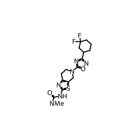 CNC(=O)Nc1nc2c(s1)CN(c1nc(C3CCCC(F)(F)C3)no1)CC2